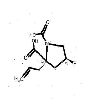 C=CC[C@@]1(C(=O)O)C[C@H](F)CN1C(=O)O